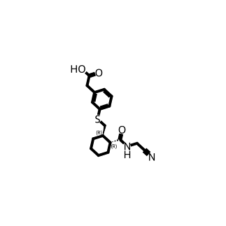 N#CCNC(=O)[C@@H]1CCCC[C@H]1CSc1cccc(CC(=O)O)c1